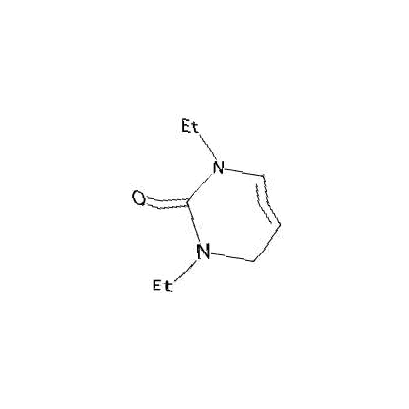 CCN1C=CCN(CC)C1=O